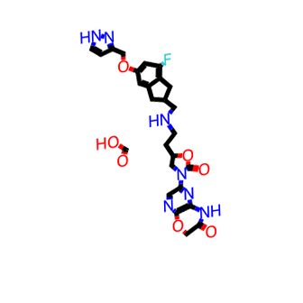 O=C1COc2ncc(N3CC(CCNCC4Cc5cc(OCc6cc[nH]n6)cc(F)c5C4)OC3=O)nc2N1.O=CO